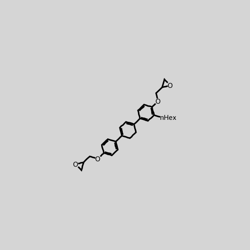 CCCCCCc1cc(C2=CC=C(c3ccc(OCC4CO4)cc3)CC2)ccc1OCC1CO1